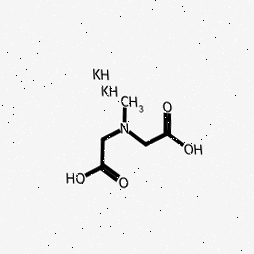 CN(CC(=O)O)CC(=O)O.[KH].[KH]